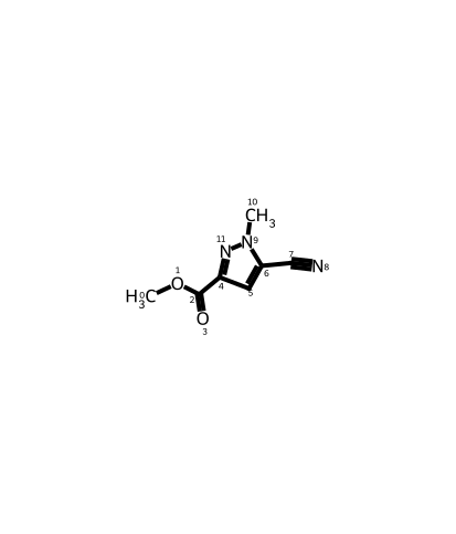 COC(=O)c1cc(C#N)n(C)n1